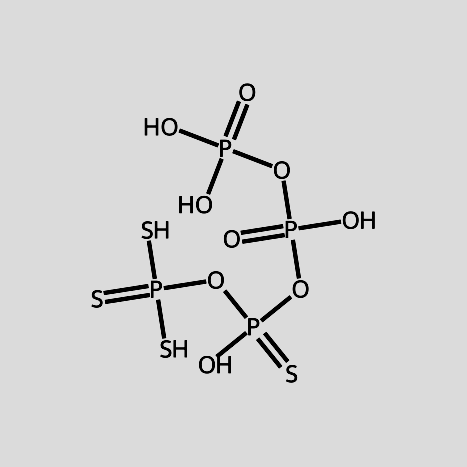 O=P(O)(O)OP(=O)(O)OP(O)(=S)OP(=S)(S)S